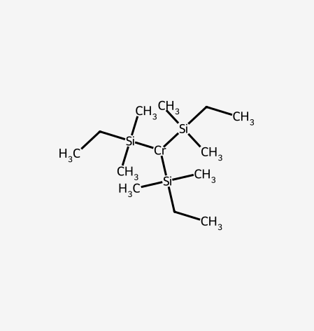 CC[Si](C)(C)[Cr]([Si](C)(C)CC)[Si](C)(C)CC